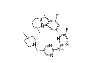 CC1CCCc2nc3c(F)cc(-c4nc(Nc5ncc(CN6CCN(C)CC6)cn5)ncc4F)cc3n21